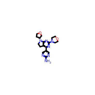 Nc1ncc(-c2nc(N3CCOCC3)nc3c2CCN3[C@@H]2CCOC2)cn1